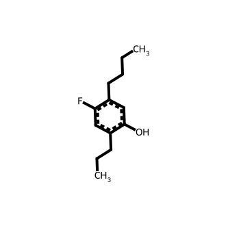 CCCCc1cc(O)c(CCC)cc1F